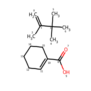 C=C(C)C(C)(C)C.O=C(O)C1=CCCCC1